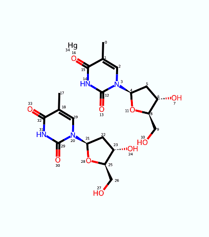 Cc1cn([C@H]2C[C@H](O)[C@@H](CO)O2)c(=O)[nH]c1=O.Cc1cn([C@H]2C[C@H](O)[C@@H](CO)O2)c(=O)[nH]c1=O.[Hg]